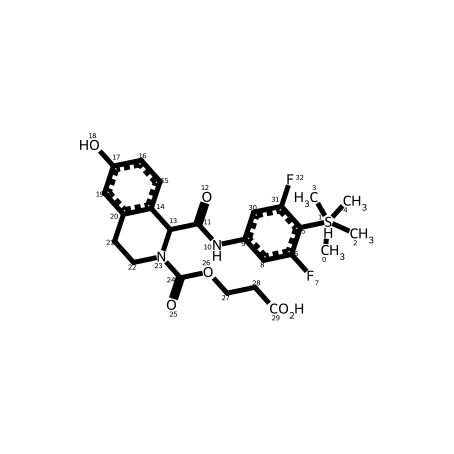 C[SH](C)(C)(C)c1c(F)cc(NC(=O)C2c3ccc(O)cc3CCN2C(=O)OCCC(=O)O)cc1F